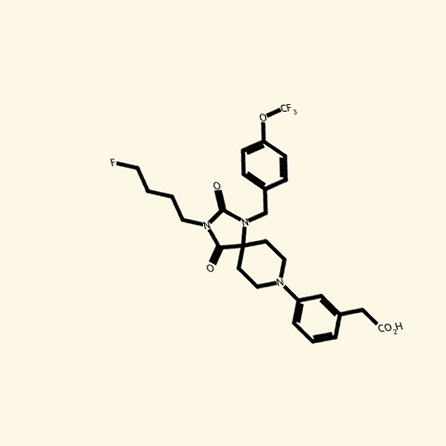 O=C(O)Cc1cccc(N2CCC3(CC2)C(=O)N(CCCCF)C(=O)N3Cc2ccc(OC(F)(F)F)cc2)c1